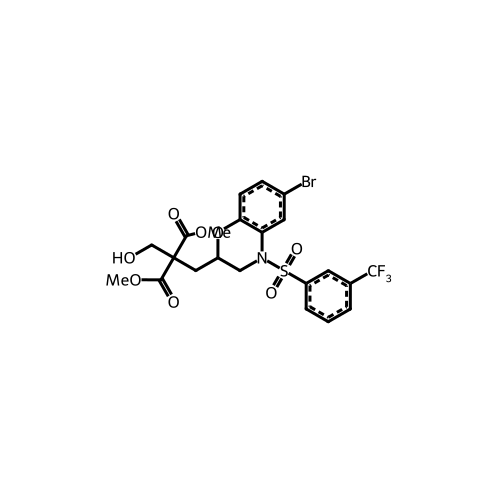 COC(=O)C(CO)(CC1CN(S(=O)(=O)c2cccc(C(F)(F)F)c2)c2cc(Br)ccc2O1)C(=O)OC